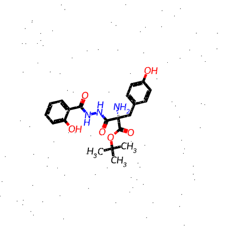 CC(C)(C)OC(=O)[C@](N)(Cc1ccc(O)cc1)C(=O)NNC(=O)c1ccccc1O